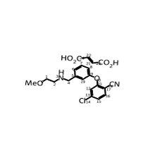 COCCNCc1cccc(Oc2cc(Cl)ccc2C#N)c1.O=C(O)C=CC(=O)O